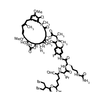 COc1cc2cc(c1Cl)N(C)C(=O)C[C@H](OC(=O)[C@H](C)N(C)C(=O)c1cc(F)c(NC(=O)[C@H](CCCNC(N)=O)NC(=O)[C@@H](NC(C=O)CCCC(C)OC(=O)C(CBr)CBr)C(C)C)cc1F)[C@]1(C)O[C@H]1[C@H](C)[C@@H]1C[C@@](O)(NC(=O)O1)[C@H](OC)/C=C/C=C(\C)C2